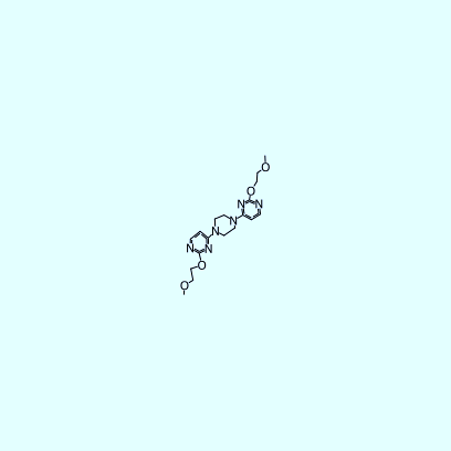 COCCOc1nccc(N2CCN(c3ccnc(OCCOC)n3)CC2)n1